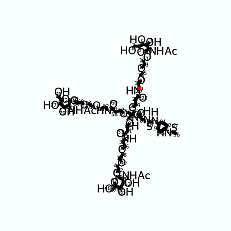 CC(=O)NC1C(O)[C@@H](O)C(CO)O[C@H]1OCCOCCOCCNC(=O)CCOCC(COCCC(=O)NCCOCCOCCO[C@@H]1OC(CO)[C@H](O)C(O)C1NC(C)=O)(COCCC(=O)NCCOCCOCCO[C@@H]1OC(CO)[C@H](O)C(O)[C@@H]1NC(C)=O)NC(=O)CNC(=S)Nc1ccc(NC(C)=S)cc1